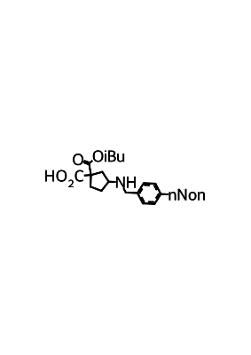 CCCCCCCCCc1ccc(CNC2CCC(C(=O)O)(C(=O)OCC(C)C)C2)cc1